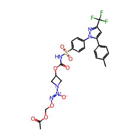 CC(=O)OCON=[N+]([O-])N1CC(OC(=O)NS(=O)(=O)c2ccc(-n3nc(C(F)(F)F)cc3-c3ccc(C)cc3)cc2)C1